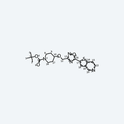 CC(C)(C)OC(=O)N1CCC(OCc2noc(-c3cc4cnccc4s3)n2)CC1